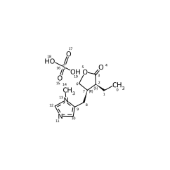 CC[C@@H]1C(=O)OC[C@@H]1Cc1cncn1C.O=S(=O)(O)O